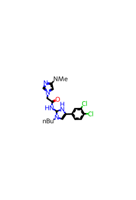 CCCCN1C=C(c2ccc(Cl)c(Cl)c2)NC1NC(=O)Cn1cnc(NC)c1